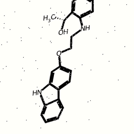 C[C@@H](O)c1ccccc1NCCOc1ccc2c(c1)[nH]c1ccccc12